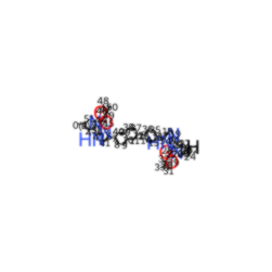 C[C@@H]1C[C@@H](c2nc(-c3ccc4cc(-c5ccc(-c6cnc([C@@H]7C[C@H]8CC8N7C(=O)OC(C)(C)C)[nH]6)cc5)ccc4c3)c[nH]2)N(C(=O)OC(C)(C)C)C1